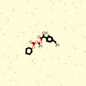 CC(C)Cc1ccc(C(C)C(=O)OC(OC(=O)OC2CCCCC2)C(C)C)cc1